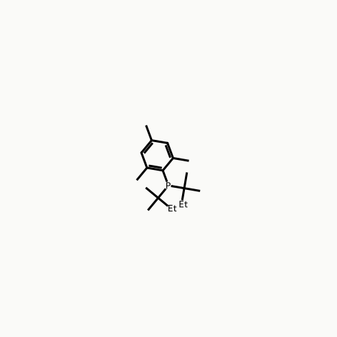 CCC(C)(C)P(c1c(C)cc(C)cc1C)C(C)(C)CC